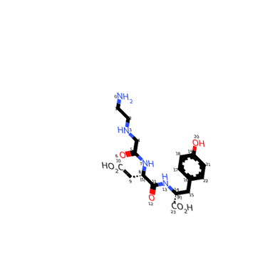 NCCNCC(=O)N[C@@H](CC(=O)O)C(=O)N[C@H](Cc1ccc(O)cc1)C(=O)O